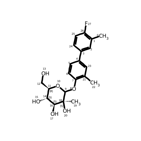 Cc1cc(-c2ccc(OC3O[C@H](CO)[C@@H](O)[C@H](O)[C@]3(C)O)c(C)c2)ccc1F